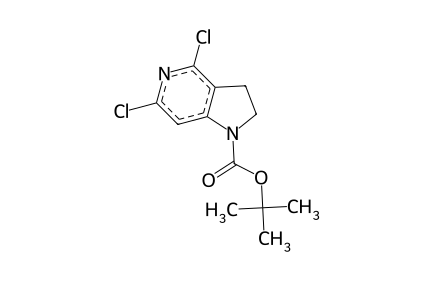 CC(C)(C)OC(=O)N1CCc2c1cc(Cl)nc2Cl